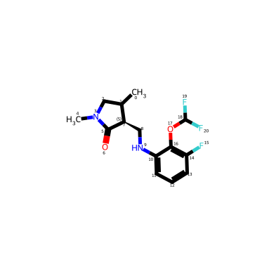 CC1CN(C)C(=O)[C@@H]1CNc1cccc(F)c1OC(F)F